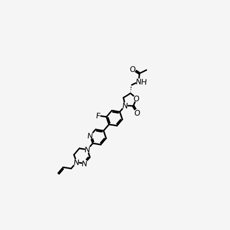 C=CCN1CCN(c2ccc(-c3ccc(N4C[C@H](CNC(C)=O)OC4=O)cc3F)cn2)C=N1